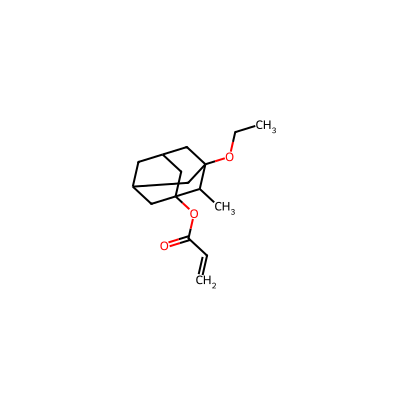 C=CC(=O)OC12CC3CC(CC(OCC)(C3)C1C)C2